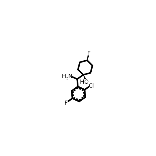 NC(c1cc(F)ccc1Cl)[C@]1(O)CC[C@@H](F)CC1